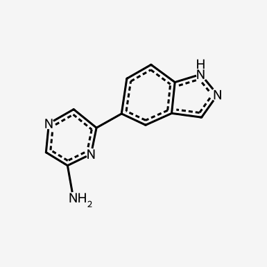 Nc1cncc(-c2ccc3[nH]ncc3c2)n1